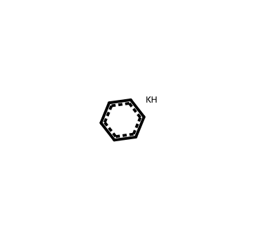 [KH].c1ccccc1